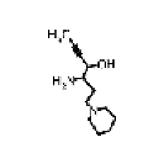 CC#CC(O)C(N)CCN1CCCCC1